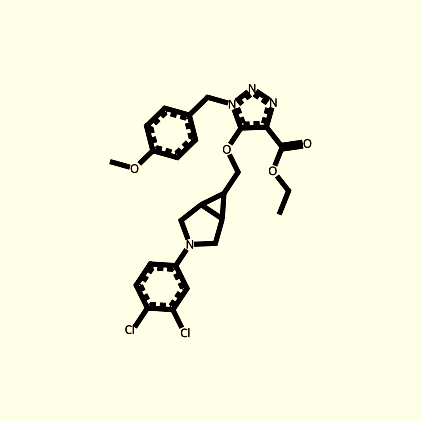 CCOC(=O)c1nnn(Cc2ccc(OC)cc2)c1OCC1C2CN(c3ccc(Cl)c(Cl)c3)CC12